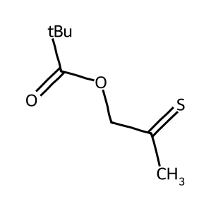 CC(=S)COC(=O)C(C)(C)C